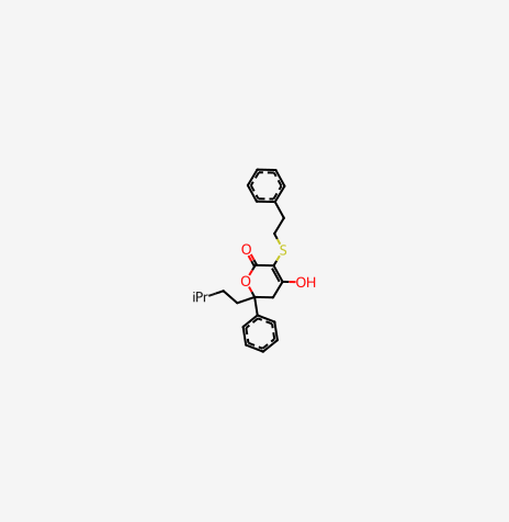 CC(C)CCC1(c2ccccc2)CC(O)=C(SCCc2ccccc2)C(=O)O1